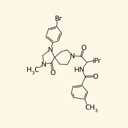 Cc1cccc(C(=O)NC(C(=O)N2CCC3(CC2)C(=O)N(C)CN3c2ccc(Br)cc2)C(C)C)c1